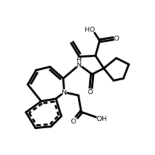 C=CC(C(=O)O)C1(C(=O)NC2=CC=Cc3ccccc3N2CC(=O)O)CCCC1